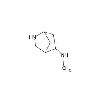 CNC1CC2CC1CN2